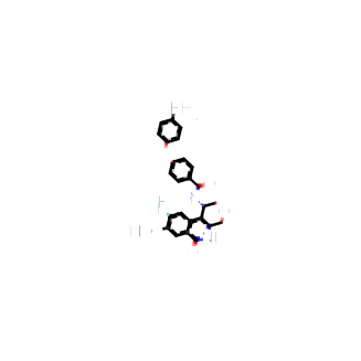 Bc1ccc(Oc2ccc(C(=O)N(C)C3COCc4[nH]c(=O)c5cc(C)c(F)cc5c43)cc2)cc1